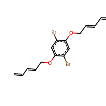 C=C/C=C/COc1cc(Br)c(OC/C=C/C=C)cc1Br